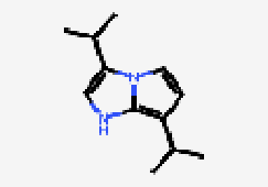 CC(C)c1ccn2c(C(C)C)c[nH]c12